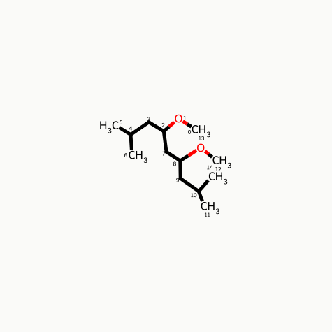 COC(CC(C)C)CC(CC(C)C)OC